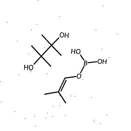 CC(C)(O)C(C)(C)O.CC(C)=COB(O)O